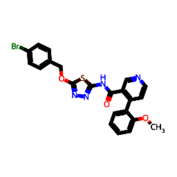 COc1ccccc1-c1ccncc1C(=O)Nc1nnc(OCc2ccc(Br)cc2)s1